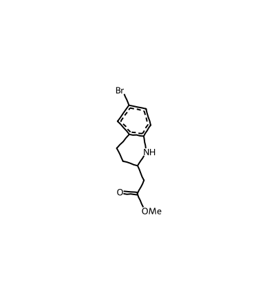 COC(=O)CC1CCc2cc(Br)ccc2N1